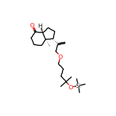 C=C(COCCCC(C)(C)O[Si](C)(C)C)[C@H]1CC[C@H]2C(=O)CCC[C@]12C